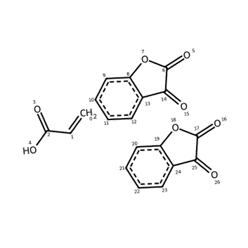 C=CC(=O)O.O=C1Oc2ccccc2C1=O.O=C1Oc2ccccc2C1=O